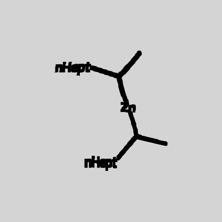 CCCCCCC[CH](C)[Zn][CH](C)CCCCCCC